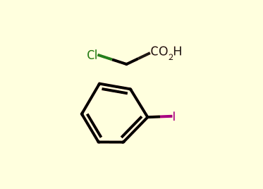 Ic1ccccc1.O=C(O)CCl